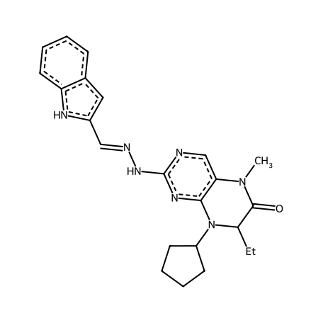 CCC1C(=O)N(C)c2cnc(NN=Cc3cc4ccccc4[nH]3)nc2N1C1CCCC1